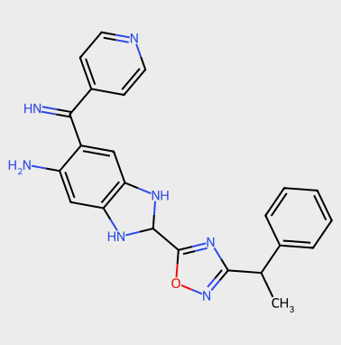 CC(c1ccccc1)c1noc(C2Nc3cc(N)c(C(=N)c4ccncc4)cc3N2)n1